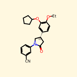 CCOc1ccc([C@@H]2CC(=O)N(c3cccc(C#N)c3)C2)cc1OC1CCCC1